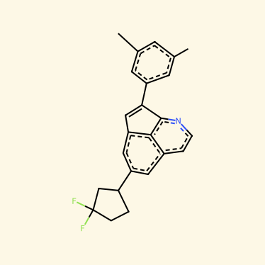 Cc1cc(C)cc(C2=Cc3cc(C4CCC(F)(F)C4)cc4ccnc2c34)c1